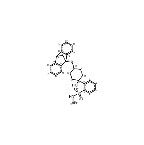 CCCNS(=O)(=O)c1ccccc1C1(O)CCN(CC23CC(c4ccccc42)c2ccccc23)CC1